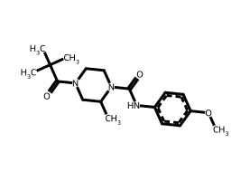 COc1ccc(NC(=O)N2CCN(C(=O)C(C)(C)C)CC2C)cc1